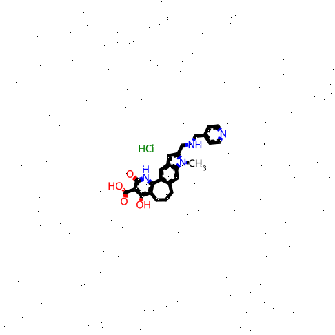 Cl.Cn1c(CNCc2ccncc2)cc2cc3c(cc21)CCCc1c-3[nH]c(=O)c(C(=O)O)c1O